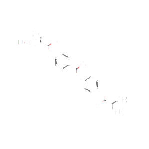 C=C(C)C(=O)Oc1ccc(OC(=O)c2ccc(OC(=O)C(=C)CO)cc2)cc1